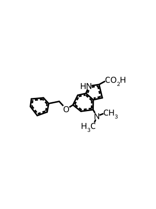 CN(C)c1cc(OCc2ccccc2)cc2[nH]c(C(=O)O)cc12